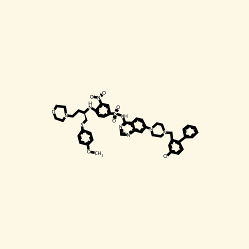 COc1ccc(SC[C@@H](CCN2CCOCC2)Nc2ccc(S(=O)(=O)Nc3ncnc4cc(N5CCN(Cc6cc(Cl)ccc6-c6ccccc6)CC5)ccc34)cc2[N+](=O)[O-])cc1